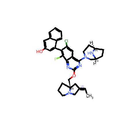 C/C=C1\CN2CCC[C@]2(COc2nc(N3CC[C@H]4CC[C@@H](C3)N4)c3cc(Cl)c(-c4cc(O)cc5ccccc45)c(F)c3n2)C1